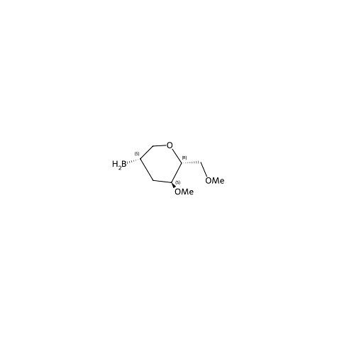 B[C@@H]1CO[C@H](COC)[C@@H](OC)C1